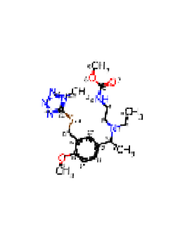 CCN(CCNC(=O)OC)C(C)c1ccc(OC)c(CSc2nnnn2C)c1